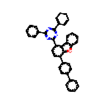 C1=CC(c2nc(-c3ccccc3)nc(-c3ccc(-c4ccc(-c5ccccc5)cc4)c4oc5ccccc5c34)n2)=CCC1